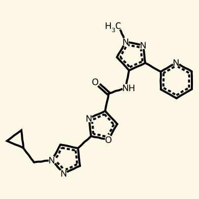 Cn1cc(NC(=O)c2coc(-c3cnn(CC4CC4)c3)n2)c(-c2ccccn2)n1